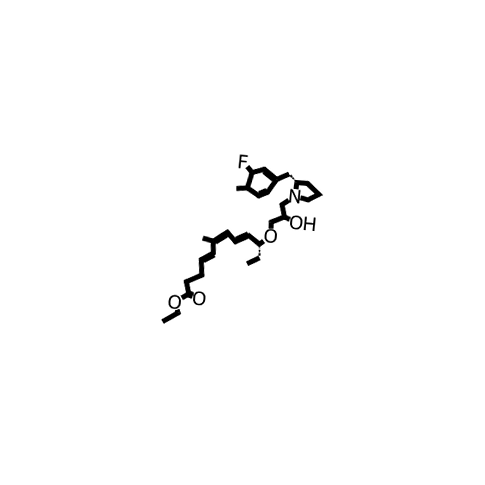 CCOC(=O)CC/C=C/C(C)=C\C=C\[C@@H](CC)OCC(O)CN1CCC[C@H]1CC1=CC(F)C(C)C=C1